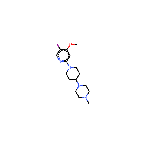 COc1cc(N2CCC(N3CCN(C)CC3)CC2)ncc1I